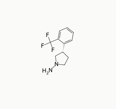 NN1CC[C@@H](c2ccccc2C(F)(F)F)C1